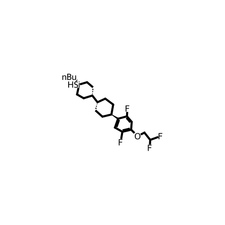 CCCC[Si@H]1CC[C@H]([C@H]2CC[C@H](c3cc(F)c(OCC(F)F)cc3F)CC2)CC1